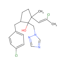 CC(Cl)=CC1(C)CCC(Cc2ccc(Cl)cc2)C1(O)Cn1cncn1